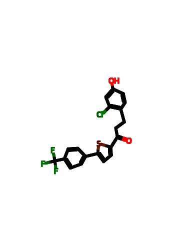 O=C(CCc1ccc(O)cc1Cl)c1ccc(-c2ccc(C(F)(F)F)cc2)s1